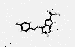 NC(=O)c1cc2c(SCc3ccc(Cl)cc3)cncc2s1